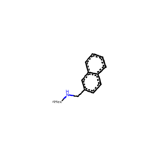 CCCCCCNCc1ccc2ccccc2c1